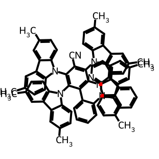 Cc1ccc2c(c1)c1cc(C)ccc1n2-c1c(C#N)c(-n2c3ccc(C)cc3c3cc(C)ccc32)c(-n2c3ccc(C)cc3c3cc(C)ccc32)c(-c2ccccc2-n2c3ccccc3c3cccnc32)c1-n1c2ccc(C)cc2c2cc(C)ccc21